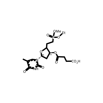 CCOP(=O)(CCC1O[C@@H](n2cc(C)c(=O)[nH]c2=O)C[C@@H]1OC(=O)CCC(=O)O)OC